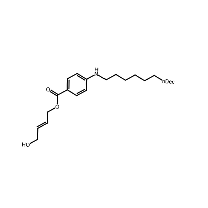 CCCCCCCCCCCCCCCCNc1ccc(C(=O)OCC=CCO)cc1